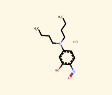 CCCCN(CCCC)c1ccc(N=O)c(O)c1.Cl